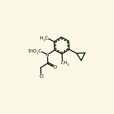 CCOC(=O)N(C(=O)CCl)c1c(C)ccc(C2CC2)c1C